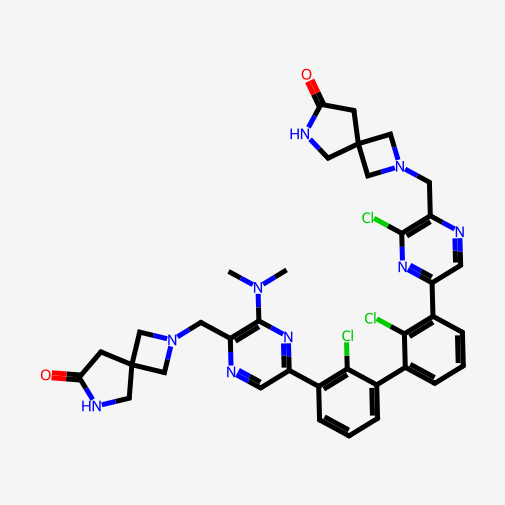 CN(C)c1nc(-c2cccc(-c3cccc(-c4cnc(CN5CC6(CNC(=O)C6)C5)c(Cl)n4)c3Cl)c2Cl)cnc1CN1CC2(CNC(=O)C2)C1